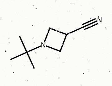 CC(C)(C)N1CC(C#N)C1